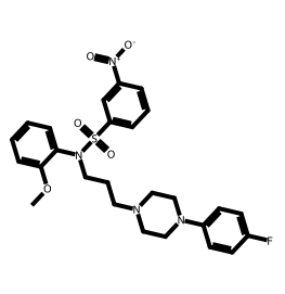 COc1ccccc1N(CCCN1CCN(c2ccc(F)cc2)CC1)S(=O)(=O)c1cccc([N+](=O)[O-])c1